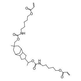 C=CC(=O)OCCCCCNC(=O)OCC1(C)CC2CC(C1)C1CC(C(C)OC(=O)NCCCCCOC(=O)C=C)CC21